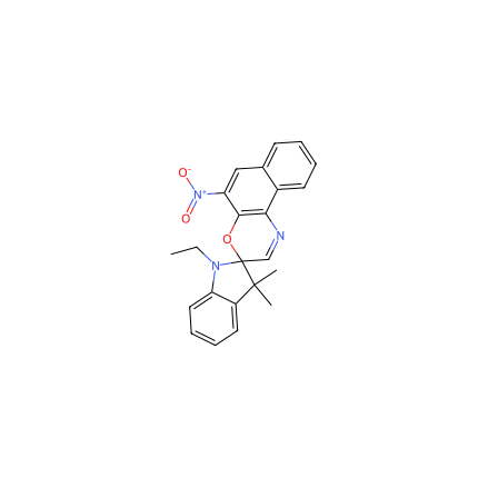 CCN1c2ccccc2C(C)(C)C12C=Nc1c(c([N+](=O)[O-])cc3ccccc13)O2